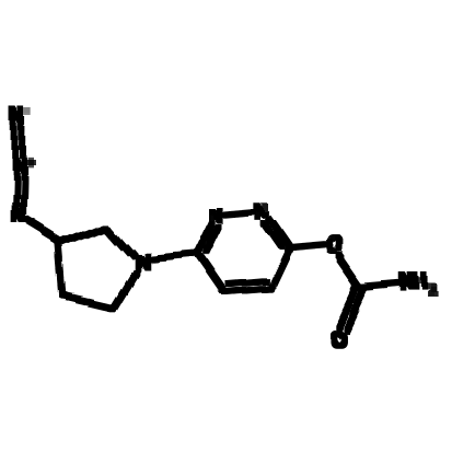 [N-]=[N+]=NC1CCN(c2ccc(OC(N)=O)nn2)C1